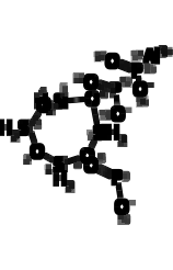 O1[SiH2]O[SiH2]O[SiH2]O[SiH2]1.O=P[O-].O=P[O-].O=P[O-].[Al+3]